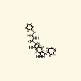 O=C(NNCc1ccccc1)c1nc2cc3c(-c4ccncc4)n[nH]c3cc2[nH]1